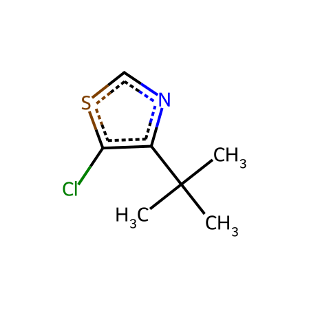 CC(C)(C)c1ncsc1Cl